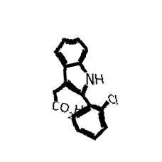 O=C(O)Cc1c(-c2ccccc2Cl)[nH]c2ccccc12